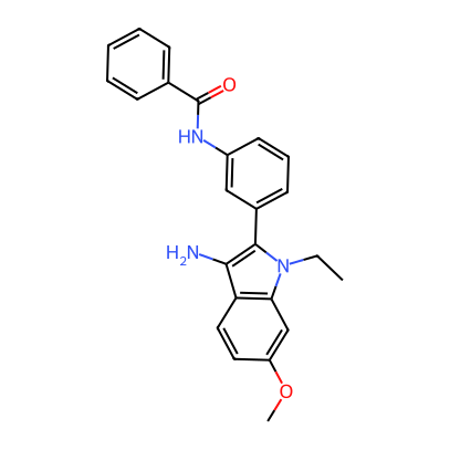 CCn1c(-c2cccc(NC(=O)c3ccccc3)c2)c(N)c2ccc(OC)cc21